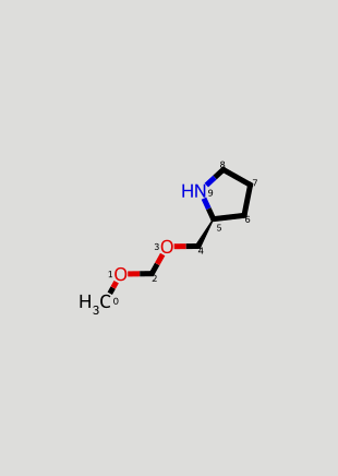 COCOC[C@@H]1CCCN1